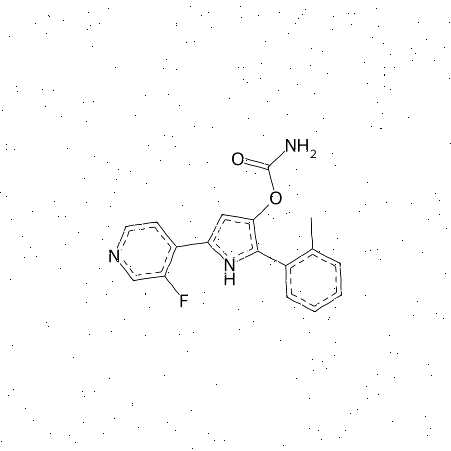 Cc1ccccc1-c1[nH]c(-c2ccncc2F)cc1OC(N)=O